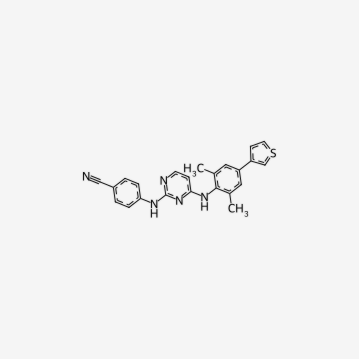 Cc1cc(-c2ccsc2)cc(C)c1Nc1ccnc(Nc2ccc(C#N)cc2)n1